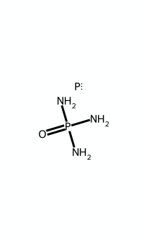 NP(N)(N)=O.[P]